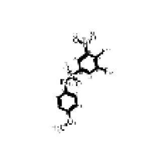 COc1ccc(NS(=O)(=O)c2cc(F)c(F)c([N+](=O)[O-])c2)cc1